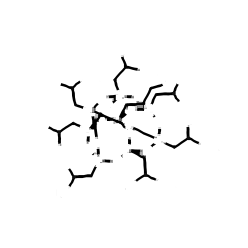 CC(C)C[Si]12O[Si]3(CCCS)O[Si]4(CC(C)C)O[Si](CC(C)C)(O1)O[Si]1(CC(C)C)O[Si](CC(C)C)(O2)O[Si](CC(C)C)(O3)O[Si](CC(C)C)(O4)O1